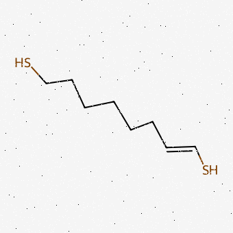 SC=CCCCCCCS